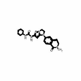 CN1CCc2cc(N3CCn4nc(NC(=O)Nc5ccccc5)cc43)ccc2C1=O